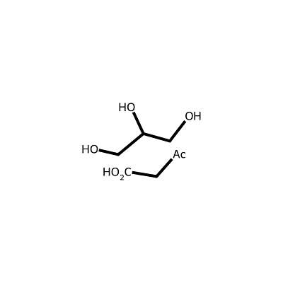 CC(=O)CC(=O)O.OCC(O)CO